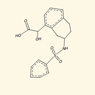 O=C(O)C(O)c1cccc2c1CC(NS(=O)(=O)c1ccccc1)CC2